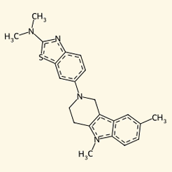 Cc1ccc2c(c1)c1c(n2C)CCN(c2ccc3nc(N(C)C)sc3c2)C1